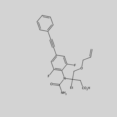 C=CCOCC(CC)(CC(=O)O)N(C(N)=O)c1c(F)cc(C#Cc2ccccc2)cc1F